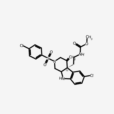 C=C1CN(S(=O)(=O)c2ccc(Cl)cc2)CC2Nc3ccc(Cl)cc3[C@]12CCNC(=O)OC